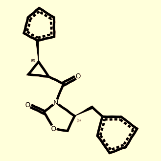 O=C1OC[C@H](Cc2ccccc2)N1C(=O)C1C[C@H]1c1ccccc1